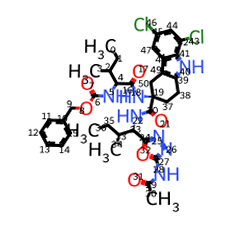 CCC(C)C(NC(=O)OCc1ccccc1)C(=O)N[C@]1(C(=O)N[C@H](c2nnc(NC(C)=O)o2)[C@@H](C)CC)CCc2[nH]c3c(Cl)cc(Cl)cc3c2C1